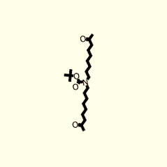 CC(=O)CCCCCCCN(CCCCCCCC(C)=O)C(=O)OC(C)(C)C